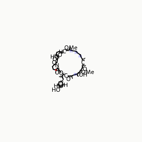 CO[C@H]1C[C@@H]2CC[C@@H](C)[C@@](O)(O2)C(=O)C(=O)N2CCCC[C@H]2C(=O)O[C@H]([C@H](C)C[C@@H]2C[C@@H]3C[C@H]2C[C@H]3O)CC(=O)[C@H](C)/C=C(\C)[C@@H](O)[C@@H](OC)C(=O)[C@H](C)C[C@H](C)/C=C/C=C/C=C/1C